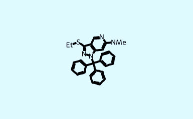 CCSc1nn(C(c2ccccc2)(c2ccccc2)c2ccccc2)c2cc(NC)ncc12